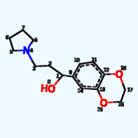 OC(CCN1CCCC1)c1ccc2c(c1)OCCO2